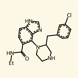 CCNC(=O)c1ccc2[nH]cnc2c1N1CCNCC1Cc1cccc(Cl)c1